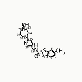 Cc1ccc2c(c1)SC(C(=O)NCc1ccc(N3CCCN(C)CC3)nc1)C2